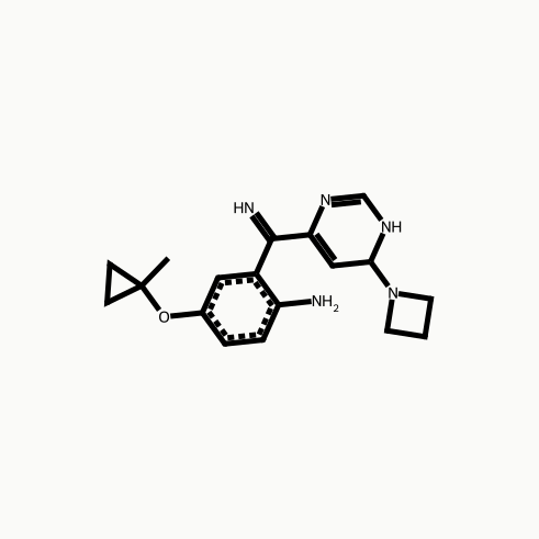 CC1(Oc2ccc(N)c(C(=N)C3=CC(N4CCC4)NC=N3)c2)CC1